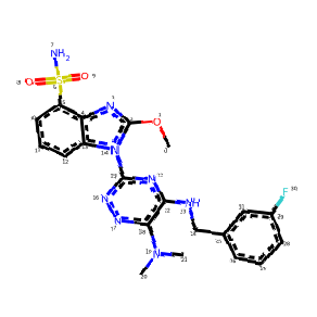 COc1nc2c(S(N)(=O)=O)cccc2n1-c1nnc(N(C)C)c(NCc2cccc(F)c2)n1